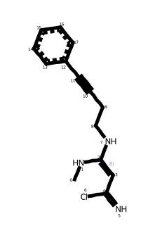 CN/C(=C\C(=N)Cl)NCCC#Cc1ccccc1